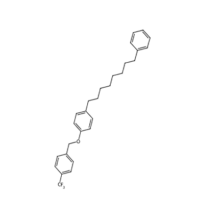 FC(F)(F)c1ccc(COc2ccc(CCCCCCCCc3ccccc3)cc2)cc1